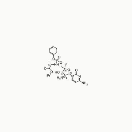 CC(C)OC(=O)[C@H](C)NP(=O)(OC[C@@]1(F)O[C@@H](n2ccc(N)nc2=O)[C@](C)(N)[C@@H]1O)Oc1ccccc1